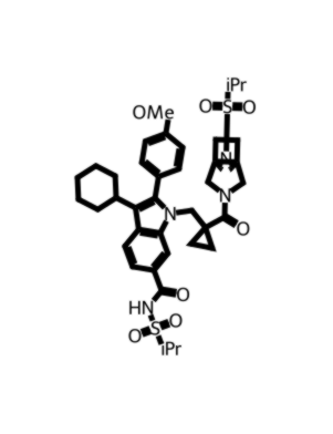 COc1ccc(-c2c(C3CCCCC3)c3ccc(C(=O)NS(=O)(=O)C(C)C)cc3n2CC2(C(=O)N3CC45CCC4(C3)CN(S(=O)(=O)C(C)C)C5)CC2)cc1